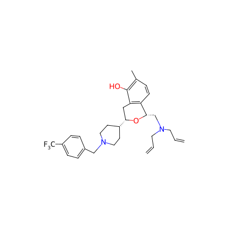 C=CCN(CC=C)C[C@@H]1O[C@H](C2CCN(Cc3ccc(C(F)(F)F)cc3)CC2)Cc2c1ccc(C)c2O